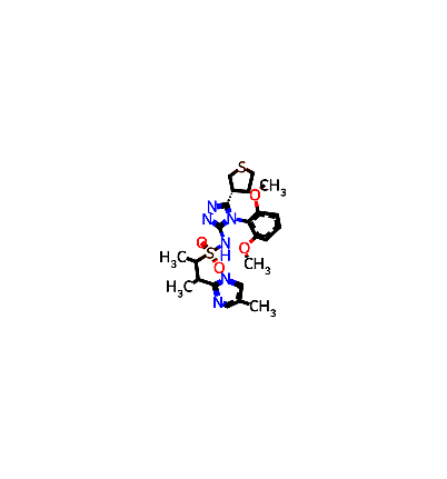 COc1cccc(OC)c1-n1c(NS(=O)(=O)C(C)C(C)c2ncc(C)cn2)nnc1[C@H]1CCSC1